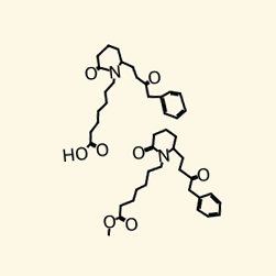 COC(=O)CCCCCCN1C(=O)CCCC1CCC(=O)Cc1ccccc1.O=C(O)CCCCCCN1C(=O)CCCC1CCC(=O)Cc1ccccc1